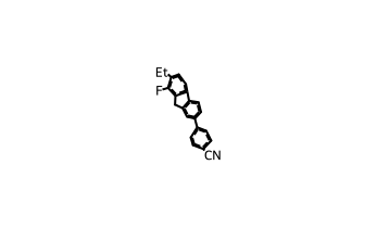 CCc1ccc2c(c1F)Cc1cc(-c3ccc(C#N)cc3)ccc1-2